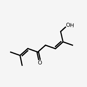 CC(C)=CC(=O)CC=C(C)CO